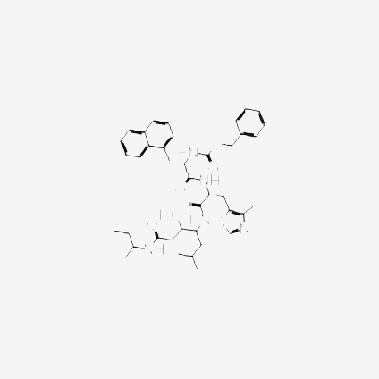 CCC(C)NC(=O)CC(O)C(CC(C)C)NC(=O)[C@H](Cc1scnc1C)NC(=O)[C@H](Cc1cccc2ccccc12)NC(=O)OCc1ccccc1